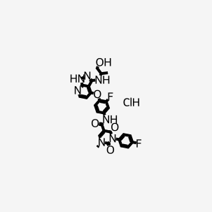 CC(CO)Nc1n[nH]c2nccc(Oc3ccc(NC(=O)c4cn(C)c(=O)n(-c5ccc(F)cc5)c4=O)cc3F)c12.Cl